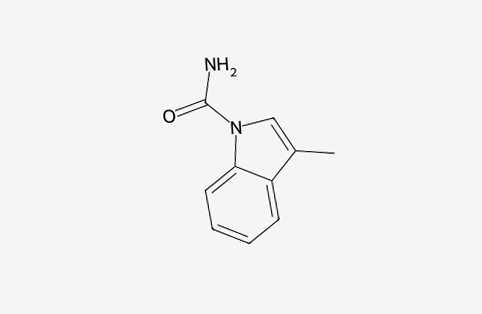 Cc1cn(C(N)=O)c2ccccc12